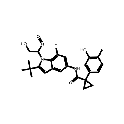 Cc1ccc(C2(C(=O)Nc3cc(F)c4c(c3)cc(C(C)(C)C)n4C(CO)N=O)CC2)cc1O